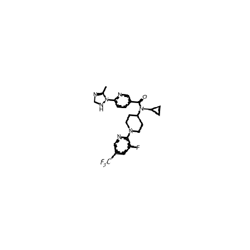 CC1=NCNN1c1ccc(C(=O)N(C2CC2)C2CCN(c3ncc(C(F)(F)F)cc3F)CC2)cn1